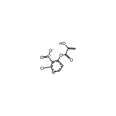 C=C(O)C(=O)Oc1ccnc(Cl)c1[N+](=O)[O-]